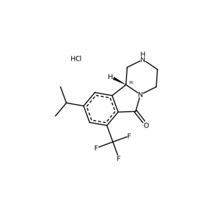 CC(C)c1cc2c(c(C(F)(F)F)c1)C(=O)N1CCNC[C@@H]21.Cl